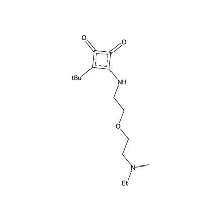 CCN(C)CCOCCNc1c(C(C)(C)C)c(=O)c1=O